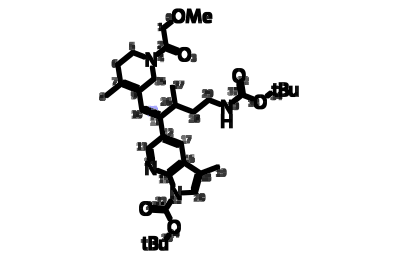 COCC(=O)N1CCC(C)=C(/C=C(/c2cnc3c(c2)c(C)cn3C(=O)OC(C)(C)C)C(C)CCNC(=O)OC(C)(C)C)C1